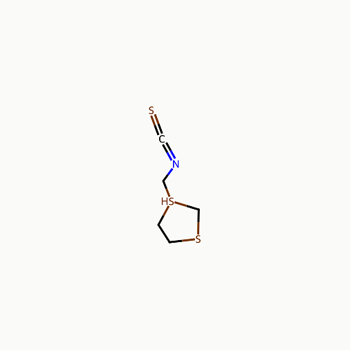 S=C=NC[SH]1CCSC1